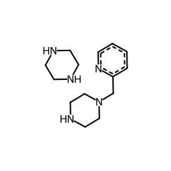 C1CNCCN1.c1ccc(CN2CCNCC2)nc1